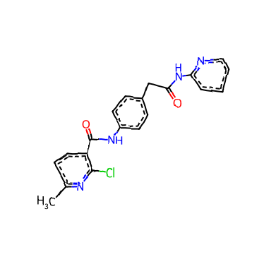 Cc1ccc(C(=O)Nc2ccc(CC(=O)Nc3ccccn3)cc2)c(Cl)n1